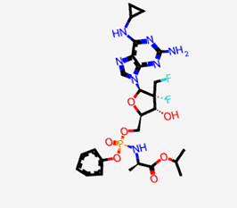 CC(C)OC(=O)[C@@H](C)N[P@@](=O)(OC[C@H]1O[C@@H](n2cnc3c(NC4CC4)nc(N)nc32)[C@@](F)(CF)[C@@H]1O)Oc1ccccc1